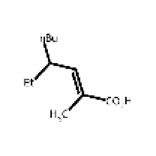 CCCCC(C=C(C)C(=O)O)CC